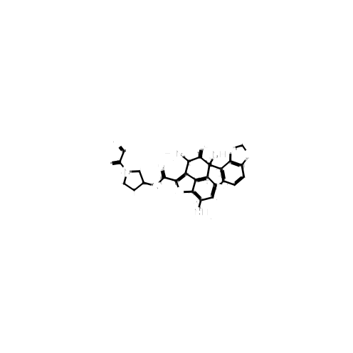 C=CC(=O)N1CCC(NC(=O)c2sc3c(N)ccc4c3c2C(N)C(=O)C4(N)c2c(Cl)ccc3c2OCO3)C1